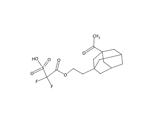 CC(=O)C12CC3CC(CC(CCOC(=O)C(F)(F)S(=O)(=O)O)(C3)C1)C2